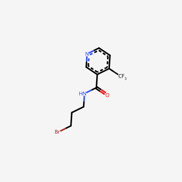 O=C(NCCCBr)c1cnccc1C(F)(F)F